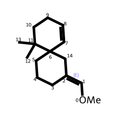 CO/C=C1\CCCC2(C=CCCC2(C)C)C1